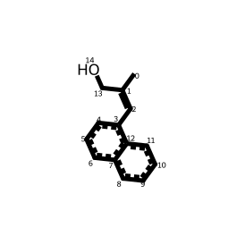 C/C(=C/c1cccc2ccccc12)CO